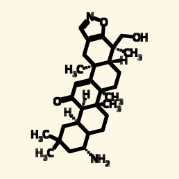 CC1(C)C[C@@H](N)C2CC[C@]3(C)[C@H](C(=O)C=C4[C@@]5(C)Cc6cnoc6[C@@](C)(CO)[C@@H]5CC[C@]43C)[C@@H]2C1